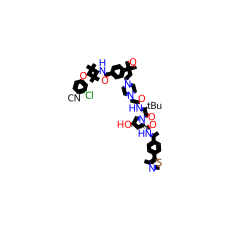 Cc1ncsc1-c1ccc(C(C)NC(=O)[C@@H]2C[C@@H](O)CN2C(=O)[C@@H](NC(=O)CN2CCN(CCC3(c4ccc(C(=O)N[C@H]5C(C)(C)[C@H](Oc6ccc(C#N)c(Cl)c6)C5(C)C)cc4)COC3)CC2)C(C)(C)C)cc1